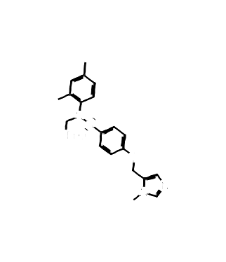 Cc1ccc(N(CC(C)C)S(=O)(=O)c2ccc(OCc3cncn3C)cc2)c(C)c1